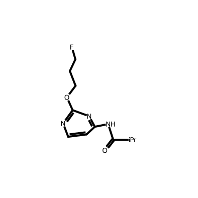 CC(C)C(=O)Nc1ccnc(OCCCF)n1